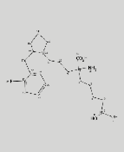 NC(CCCCB(O)O)(CCCN1CCCC1Cc1ccccc1F)C(=O)O